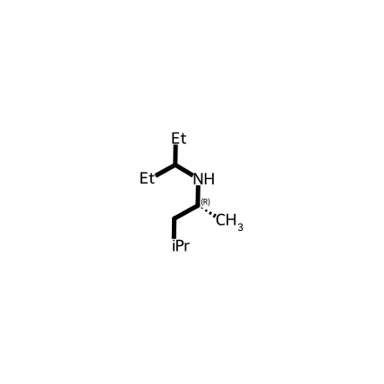 CCC(CC)N[C@H](C)CC(C)C